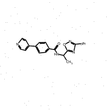 CCCc1noc(C(C)NC(=O)c2ccc(-c3ccncc3)cc2)n1